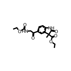 CCOC(=O)NCC(=O)c1ccc2c(c1)C(C)(C(=O)OCC)C(=O)N2